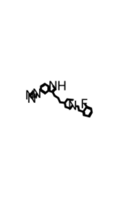 Fc1ccccc1CCN1CCC(CCCc2c[nH]c3ccc(-n4cnnc4)cc23)CC1